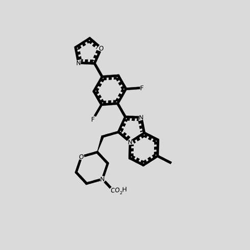 Cc1ccn2c(C[C@H]3CN(C(=O)O)CCO3)c(-c3c(F)cc(-c4ncco4)cc3F)nc2c1